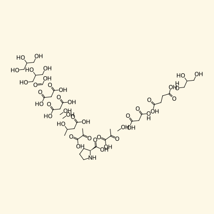 CC(=O)C(=O)O.CC(=O)C(=O)O.CC(O)CC(=O)O.CO.CO.CO.O=C(O)CC(=O)O.O=C(O)CC(=O)O.O=C(O)CC(=O)O.O=C(O)CCC(=O)O.O=C(O)[C@@H]1CCCN1.O=CO.OCC(O)CO.OCC(O)CO.OCC(O)CO